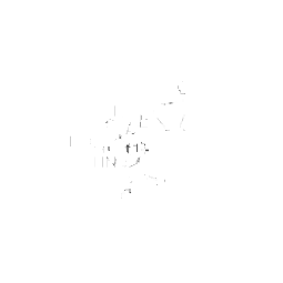 C[C@@H](Nc1c(NCc2ccc(Cl)cc2Cl)c(=O)c1=O)C(C)(C)C